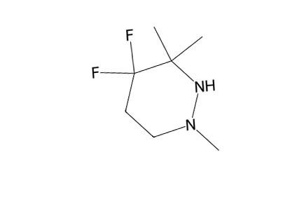 CN1CCC(F)(F)C(C)(C)N1